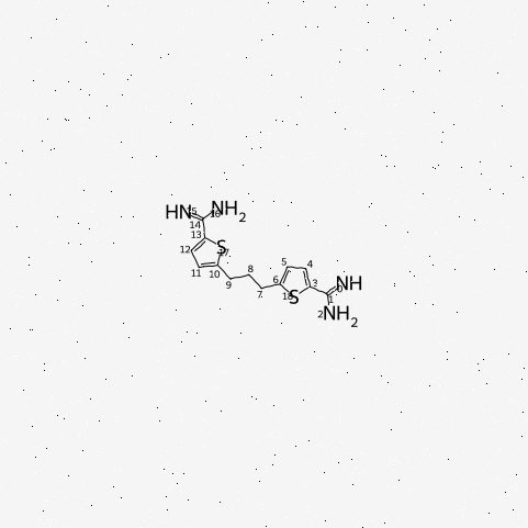 N=C(N)c1ccc(CCCc2ccc(C(=N)N)s2)s1